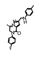 Cc1ccc(NCc2cc3n(n2)[C@H](C)CN(c2ccc(F)cc2)C3=O)cc1